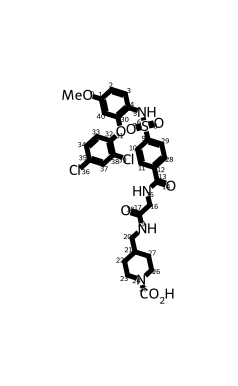 COc1ccc(NS(=O)(=O)c2ccc(C(=O)NCC(=O)NCC3CCN(C(=O)O)CC3)cc2)c(Oc2ccc(Cl)cc2Cl)c1